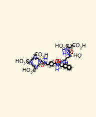 O=CC(CCCCNC(=O)C(Cc1ccc2ccccc2c1)NC(=O)C1CCC(CNC(=O)CN2CCN(CC(=O)O)CCN(CC(=O)O)CCN(CC(=O)O)CC2)CC1)NC(=O)NC(CCC(=O)O)C(=O)O